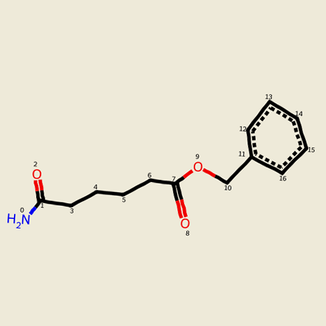 NC(=O)CCCCC(=O)OCc1ccccc1